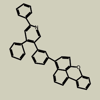 c1ccc(-c2cc(-c3ccccc3)c(-c3cccc(-c4ccc5c6c(cccc46)-c4ccccc4O5)c3)cn2)cc1